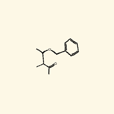 CC(=O)C(C)C(C)OCc1ccccc1